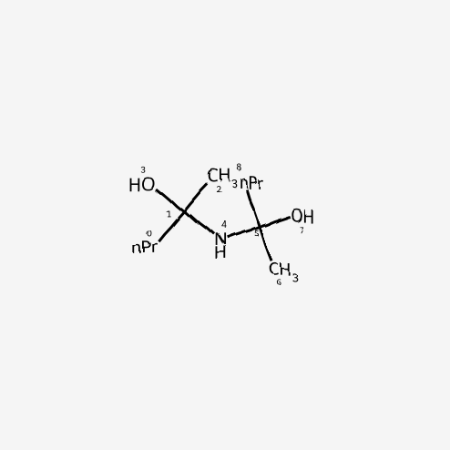 CCCC(C)(O)NC(C)(O)CCC